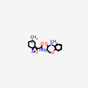 C[C@H]1CCc2noc(C(=O)N[C@H]3COc4ccccc4N(C)C3=O)c2C1